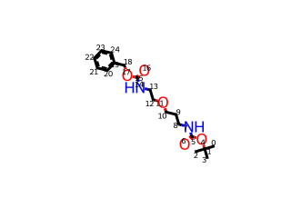 CC(C)(C)OC(=O)NCCCOCCNC(=O)OCc1ccccc1